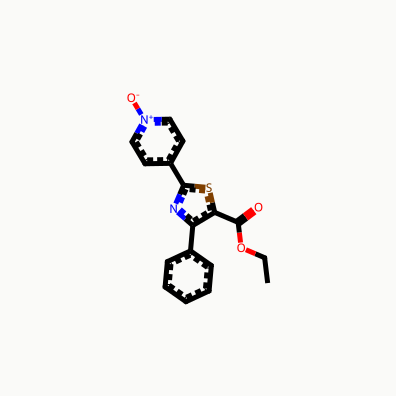 CCOC(=O)c1sc(-c2cc[n+]([O-])cc2)nc1-c1ccccc1